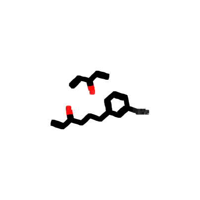 C=CC(=O)C=C.C=CC(=O)CCCc1cccc(OC)c1